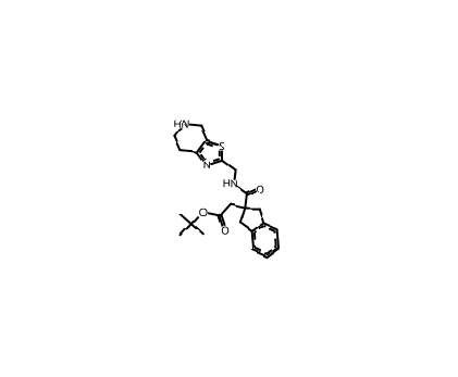 CC(C)(C)OC(=O)CC1(C(=O)NCc2nc3c(s2)CNCC3)Cc2ccccc2C1